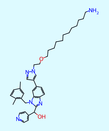 Cc1ccc(C)c(Cn2c(C(O)c3ccncc3)nc3ccc(-c4cnn(CCOCCCCCCCCCCCCN)c4)cc32)c1